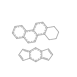 C1=Cc2cc3c(cc2=C1)C=CC=3.c1ccc2c(c1)ccc1c3c(ccc12)CCCC3